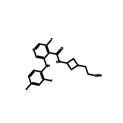 COCCN1CC(NC(=O)c2c(F)cncc2Nc2ccc(C)cc2F)C1